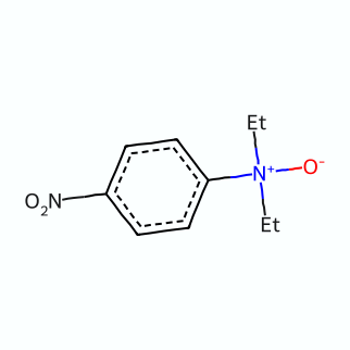 CC[N+]([O-])(CC)c1ccc([N+](=O)[O-])cc1